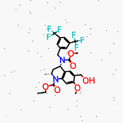 CCOC(=O)N1c2cc(OC)c(CO)cc2[C@@H](N(Cc2cc(C(F)(F)F)cc(C(F)(F)F)c2)C(=O)OC)C[C@H]1C